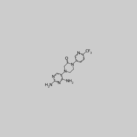 Nc1ncc(N2CCN(c3ccc(C(F)(F)F)nc3)C(=O)C2)c(N)n1